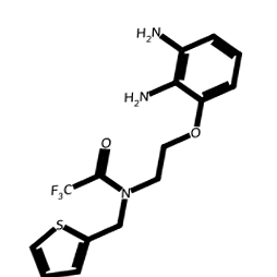 Nc1cccc(OCCN(Cc2cccs2)C(=O)C(F)(F)F)c1N